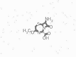 COC1=N[C@@H](C(=O)O)N2C(=O)C(N)C2SC1